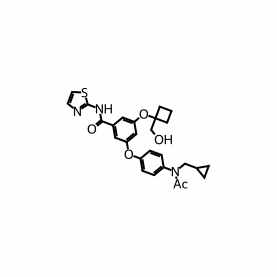 CC(=O)N(CC1CC1)c1ccc(Oc2cc(OC3(CO)CCC3)cc(C(=O)Nc3nccs3)c2)cc1